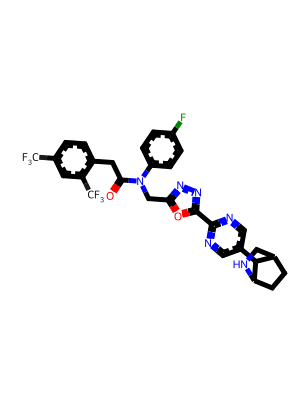 O=C(Cc1ccc(C(F)(F)F)cc1C(F)(F)F)N(Cc1nnc(-c2ncc(C3C4CCC3NC4)cn2)o1)c1ccc(F)cc1